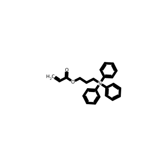 C=CC(=O)OCCC[Si](c1ccccc1)(c1ccccc1)c1ccccc1